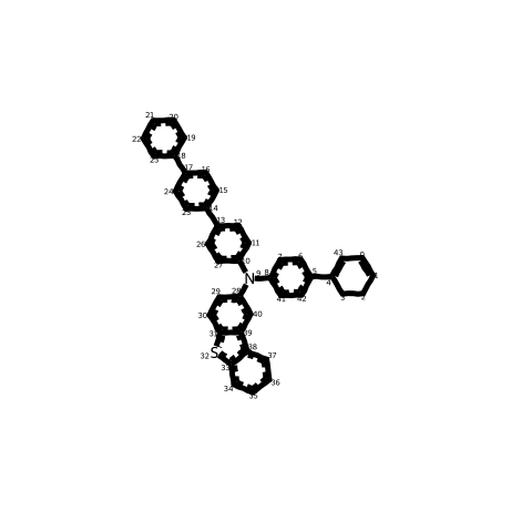 C1=CCCC(c2ccc(N(c3ccc(-c4ccc(-c5ccccc5)cc4)cc3)c3ccc4sc5ccccc5c4c3)cc2)=C1